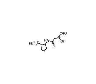 CCOC(=O)C1CCCC1NC(=O)CN(O)C=O